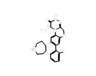 C[C@@H]1C(=O)NN=C2COc3cc(-c4ccccc4F)c([C@H]4CCCNCC4)cc3N21